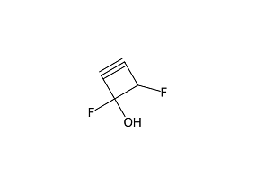 OC1(F)C#CC1F